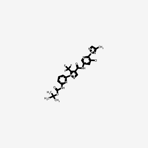 Cc1cnn(-c2ncc(NC(=O)c3cnn(-c4cccc(NC(=O)OC(C)(C)C)n4)c3C(F)(F)F)cc2Cl)n1